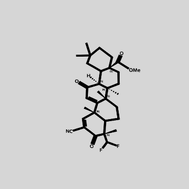 COC(=O)[C@]12CCC(C)(C)CC1[C@@H]1C(=O)C=C3[C@@]4(C)C=C(C#N)C(=O)[C@@](C)(C(F)F)C4CC[C@@]3(C)[C@]1(C)CC2